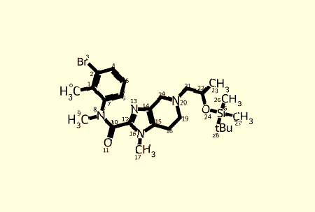 Cc1c(Br)cccc1N(C)C(=O)c1nc2c(n1C)CCN(CC(C)O[Si](C)(C)C(C)(C)C)C2